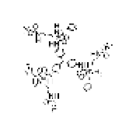 CC(C)(C)OC(=O)NCCCC[C@](N)(C(=O)Cc1ccsc1)C(=O)Nc1ccc(C(c2ccc(NC(=O)[C@](N)(CCCCNC(=O)OC(C)(C)C)C(=O)Cc3ccsc3)cc2)c2ccc(NC(=O)[C@](N)(CCCCNC(=O)OC(C)(C)C)C(=O)Cc3ccsc3)cc2)cc1